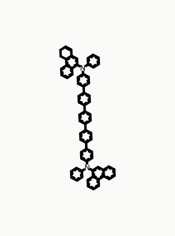 C1=Cc2cc(N(c3ccccc3)c3ccc(-c4ccc(-c5ccc(-c6ccc(-c7ccc(N(c8ccccc8)c8cc9ccccc9c9ccccc89)cc7)cc6)cc5)cc4)cc3)c3ccccc3c2CC1